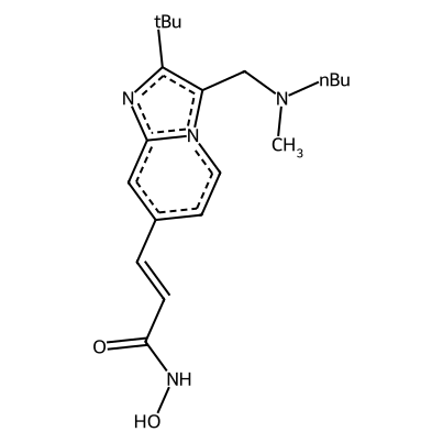 CCCCN(C)Cc1c(C(C)(C)C)nc2cc(/C=C/C(=O)NO)ccn12